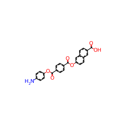 Nc1ccc(OC(=O)c2ccc(C(=O)Oc3ccc4cc(C(=O)O)ccc4c3)cc2)cc1